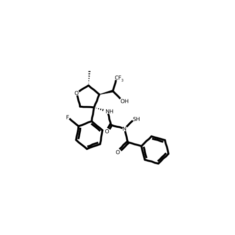 C[C@H]1OC[C@](NC(=O)N(S)C(=O)c2ccccc2)(c2ccccc2F)[C@@H]1C(O)C(F)(F)F